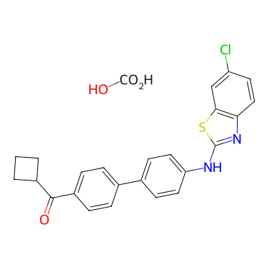 O=C(O)O.O=C(c1ccc(-c2ccc(Nc3nc4ccc(Cl)cc4s3)cc2)cc1)C1CCC1